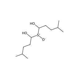 CC(C)CCC(O)[S+]([O-])C(O)CCC(C)C